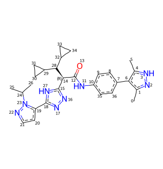 Cc1n[nH]c(C)c1-c1ccc(NC(=O)[C@@H](c2nnc(-c3ccnn3C(C)C)[nH]2)C(C2CC2)C2CC2)cc1